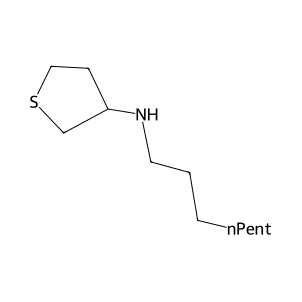 CCCCCCCCNC1CCSC1